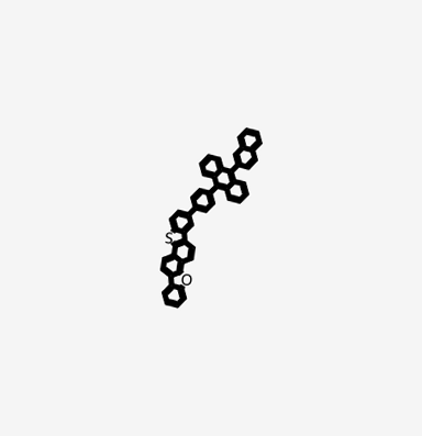 c1ccc2cc(-c3c4ccccc4c(-c4ccc(-c5ccc6sc7c(ccc8c7ccc7c9ccccc9oc78)c6c5)cc4)c4ccccc34)ccc2c1